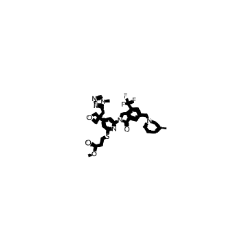 COC(=O)CCSc1cc(C2(Cc3nncn3C)COC2)cc(N2Cc3c(cc(CN4CCC[C@H](C)C4)cc3C(F)(F)F)C2=O)n1